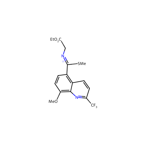 CCOC(=O)C/N=C(\SC)c1ccc(OC)c2nc(C(F)(F)F)ccc12